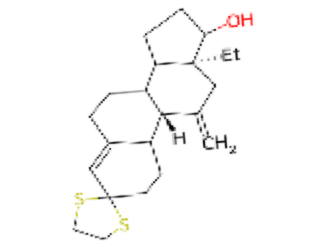 C=C1C[C@]2(CC)C(O)CCC2C2CCC3=CC4(CCC3[C@@H]12)SCCS4